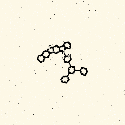 c1ccc(-c2cc(-c3ccccc3)cc(-c3cnc(-n4c5ccccc5c5cc6sc7cc8ccccc8cc7c6cc54)nc3)c2)cc1